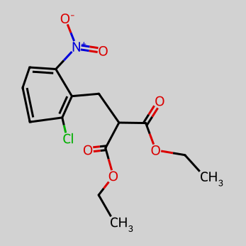 CCOC(=O)C(Cc1c(Cl)cccc1[N+](=O)[O-])C(=O)OCC